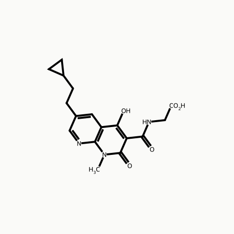 Cn1c(=O)c(C(=O)NCC(=O)O)c(O)c2cc(CCC3CC3)cnc21